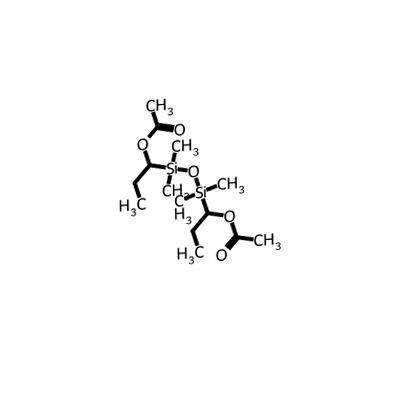 CCC(OC(C)=O)[Si](C)(C)O[Si](C)(C)C(CC)OC(C)=O